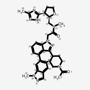 CC(=O)N1CCC(c2nn(CC(=O)N(C)C[C@@H]3OCC[C@@H]3c3nc(C)n[nH]3)c3cccc(-c4cc5c(cnn5C)cc4F)c23)CC1